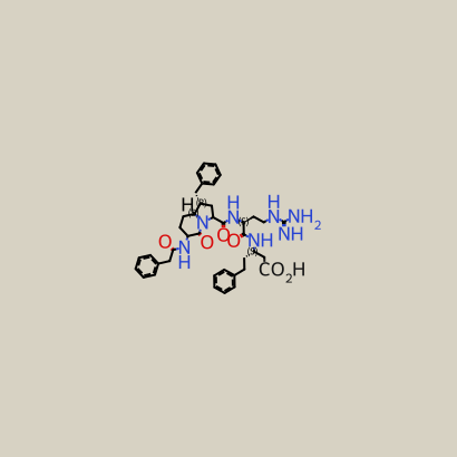 N=C(N)NCC[C@H](NC(=O)C1C[C@@H](Cc2ccccc2)[C@@H]2CCC(NC(=O)Cc3ccccc3)C(=O)N12)C(=O)N[C@@H](CCc1ccccc1)CC(=O)O